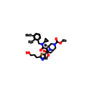 COc1cccc(CN(C(=O)C2=C(c3cnc(CCCO)s3)CC3CN(C(=O)OC(C)(C)C)C[C@H]2N3C(=O)OC(C)(C)C)C2CC2)c1C